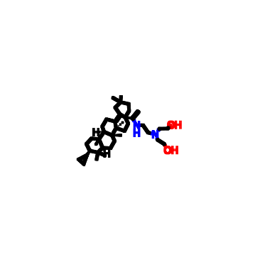 C=C(NCCN(CCO)CCO)[C@]12CCC(C)(C)CC1=C1CC[C@@H]3[C@@]4(C)CC[C@H](C5CC5)C(C)(C)[C@@H]4CC[C@@]3(C)[C@]1(C)CC2